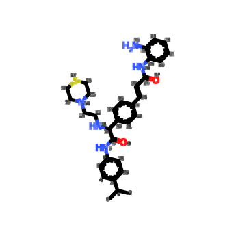 CC(C)c1ccc(NC(=O)C(NCCN2CCSCC2)c2ccc(/C=C/C(=O)Nc3ccccc3N)cc2)cc1